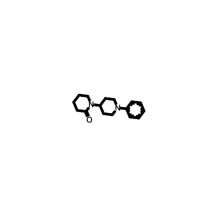 O=C1CCCCN1C1CCN(c2ccccc2)CC1